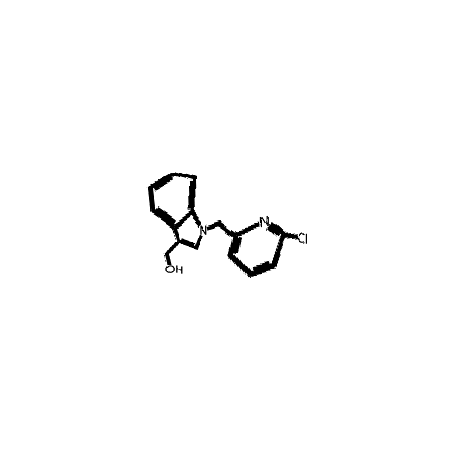 OCc1cn(Cc2cccc(Cl)n2)c2ccccc12